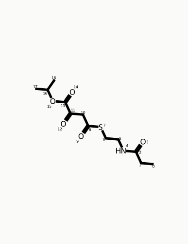 CCC(=O)NCCSC(=O)CC(=O)C(=O)OC(C)C